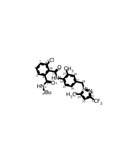 CCC(C)NC(=O)c1cccc(Cl)c1C(=O)Nc1ccc(Cn2nc(C(F)(F)F)cc2C)cc1C